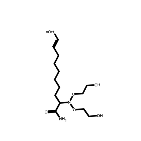 CCCCCCCCC=CCCCCCCC(C(N)=O)N(OCCO)OCCO